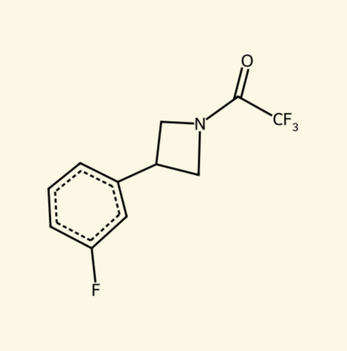 O=C(N1CC(c2cccc(F)c2)C1)C(F)(F)F